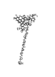 CCCOCCOCCOCCOCCOCCOCCOCCOCCOCCC(=O)N[C@@H](Cc1ccccc1)C(=O)N[C@@H](CCCCN)C(=O)N[C@H]1CCc2c(C)c(F)cc3nc4c(c1c23)Cn1c-4cc2c(c1=O)COC(=O)[C@@H]2CC